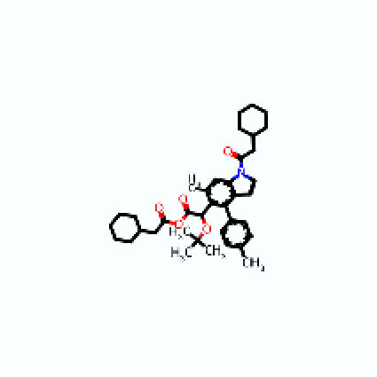 Cc1ccc(-c2c3c(cc(C)c2C(OC(C)(C)C)C(=O)OC(=O)CC2CCCCC2)N(C(=O)CC2CCCCC2)CC3)cc1